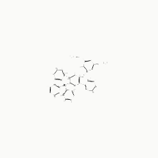 COc1cc(OC)cc(-n2c3cc4c(cc3c3ncccc32)C(c2ccccc2)(c2ccccc2)c2ccccc2-4)c1